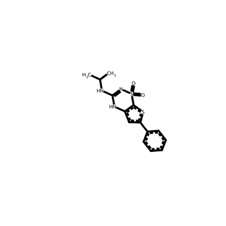 CC(C)NC1=NS(=O)(=O)c2sc(-c3ccccc3)cc2N1